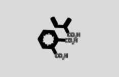 C=CC(=C)C(=O)O.O=C(O)c1ccccc1C(=O)O